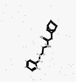 O=C(CC1CC2C=CC1C2)NCCSSc1ccccn1